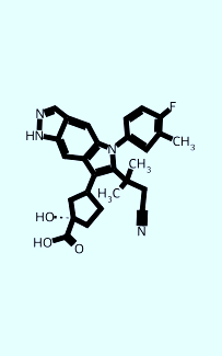 Cc1cc(-n2c(C(C)(C)CC#N)c(C3CC[C@@](O)(C(=O)O)C3)c3cc4[nH]ncc4cc32)ccc1F